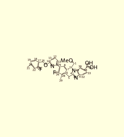 COCCn1c(Cc2ccc(-c3cccc(OCc4ccc(C)cc4F)n3)c(F)c2C)nc2ccc(C(O)O)cc21